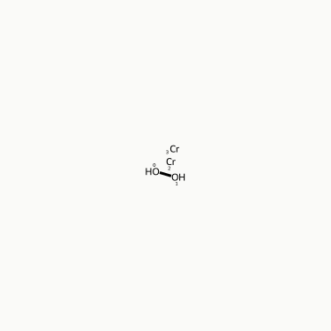 OO.[Cr].[Cr]